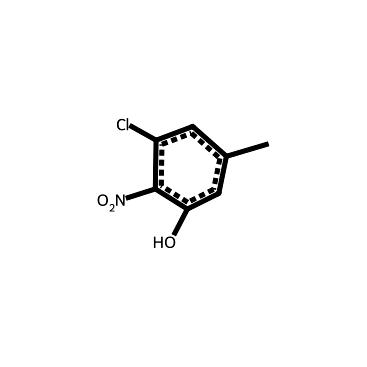 Cc1cc(O)c([N+](=O)[O-])c(Cl)c1